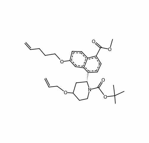 C=CCCCOc1ccc2c(C(=O)OC)ccc([C@H]3CC(OCC=C)CCN3C(=O)OC(C)(C)C)c2c1